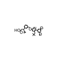 COc1cc(OC)cc(-c2ncc(OCc3cccc(C(CC(=O)O)C4CC4)c3)cc2CC(C)(C)C)c1